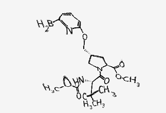 Bc1cccc(OC[C@@H]2C[C@@H](C(=O)OC)N(C(=O)[C@@H](NC(=O)OC)C(C)(C)C)C2)n1